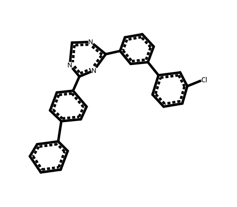 Clc1cccc(-c2cccc(-c3ncnc(-c4ccc(-c5ccccc5)cc4)n3)c2)c1